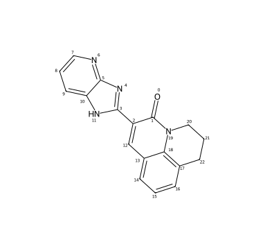 O=c1c(-c2nc3ncccc3[nH]2)cc2cccc3c2n1CCC3